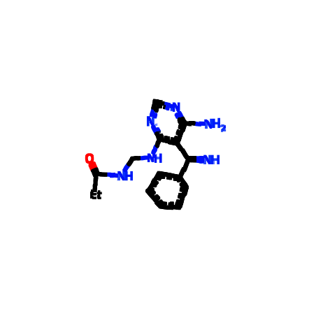 CCC(=O)NCNc1ncnc(N)c1C(=N)c1ccccc1